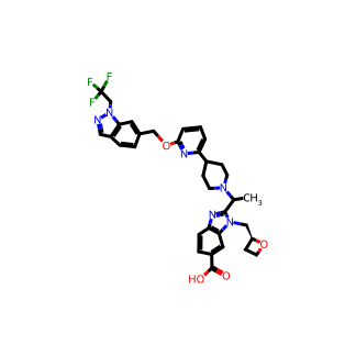 CC(c1nc2ccc(C(=O)O)cc2n1C[C@@H]1CCO1)N1CCC(c2cccc(OCc3ccc4cnn(CC(F)(F)F)c4c3)n2)CC1